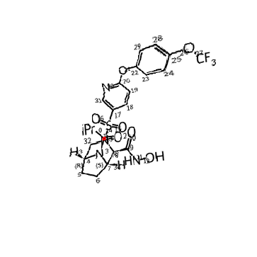 CC(C)C(=O)N1[C@@H]2CC[C@H]1[C@H](C(=O)NO)N(S(=O)(=O)c1ccc(Oc3ccc(OC(F)(F)F)cc3)nc1)C2